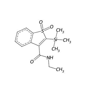 CCNC(=O)C1=C([Si](C)(C)C)S(=O)(=O)c2ccccc21